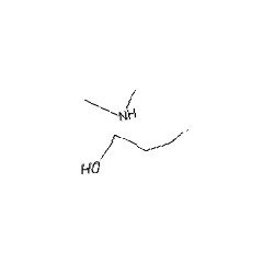 CNC.[CH2]CCO